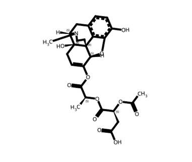 CC(=O)O[C@@H](CC(=O)O)C(=O)O[C@@H](C)C(=O)OC1=CC[C@]2(O)[C@@H]3Cc4ccc(O)c5c4[C@]2(CCN3C)[C@@H]1O5